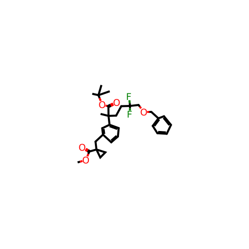 COC(=O)C1(Cc2cccc(C(C)(CCC(F)(F)COCc3ccccc3)C(=O)OC(C)(C)C)c2)CC1